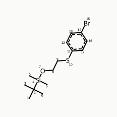 CC(C)(C)[Si](C)(C)OCCSc1ccc(Br)cc1